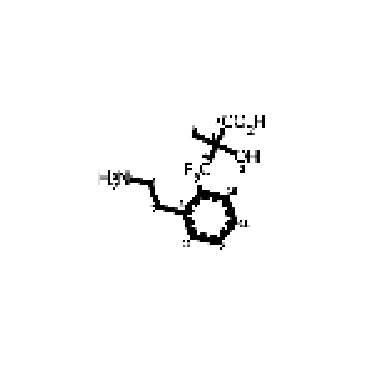 CC(O)(C(=O)O)C(F)(F)F.NCCc1ccccc1